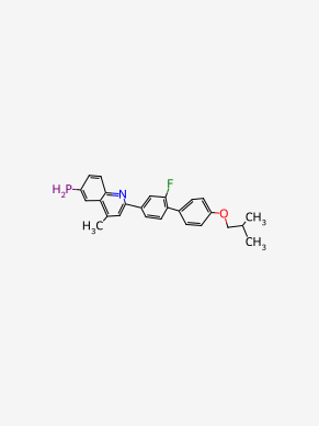 Cc1cc(-c2ccc(-c3ccc(OCC(C)C)cc3)c(F)c2)nc2ccc(P)cc12